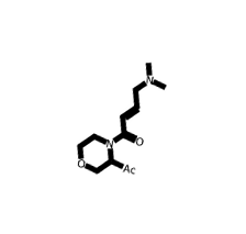 CC(=O)C1COCCN1C(=O)/C=C/CN(C)C